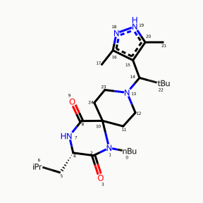 CCCCN1C(=O)[C@H](CC(C)C)NC(=O)C12CCN(C(c1c(C)n[nH]c1C)C(C)(C)C)CC2